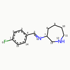 Fc1ccc(C=NC2CCCCNC2)cc1